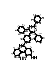 N=C1C=Cc2c(-c3ccc(-c4c(-c5ccccc5)nc(-c5ccccc5)nc4-c4ccccc4)cc3)nc3ccccc3c2C1=N